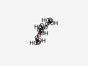 O=C(O)C1C2CC(OCCOC3CC4CC3C(C(=O)O)C4C(=O)OC(=O)C3C4CC(OCCOC5CC6CC5C(C(=O)O)C6C(=O)O)C(C4)C3C(=O)O)C(C2)C1C(=O)O